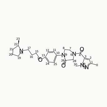 Cc1cc(C(=O)N2CCN(c3ccc(OCCCN4CCC[C@H]4C)cc3)C(=O)C2)n(C)n1